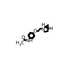 CC(=O)Nc1ccc(OCCN2CC[C@H]3C[C@H]32)cc1